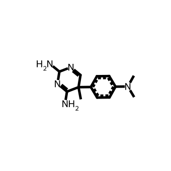 CN(C)c1ccc(C2(C)C=NC(N)N=C2N)cc1